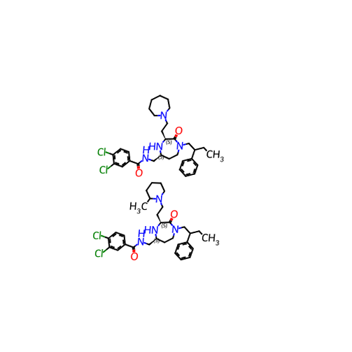 CCC(CN1CC[C@@H](CNC(=O)c2ccc(Cl)c(Cl)c2)N[C@@H](CCN2CCCCC2C)C1=O)c1ccccc1.CCC(CN1CC[C@@H](CNC(=O)c2ccc(Cl)c(Cl)c2)N[C@@H](CCN2CCCCCC2)C1=O)c1ccccc1